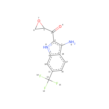 Nc1c(C(=O)C2CO2)[nH]c2cc(C(F)(F)F)ccc12